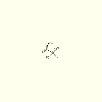 FC(Cl)C(F)(S)Cl